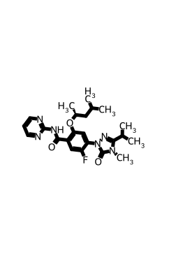 CC(C)C[C@H](C)Oc1cc(-n2nc(C(C)C)n(C)c2=O)c(F)cc1C(=O)Nc1ncccn1